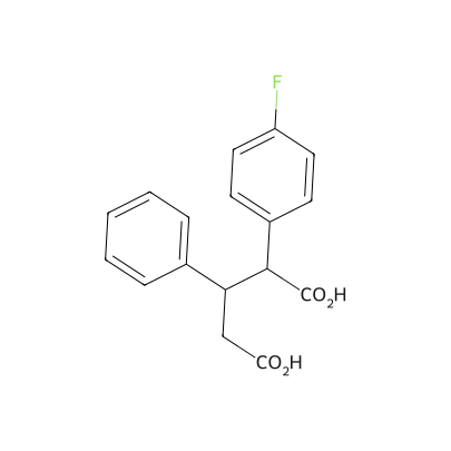 O=C(O)CC(c1ccccc1)C(C(=O)O)c1ccc(F)cc1